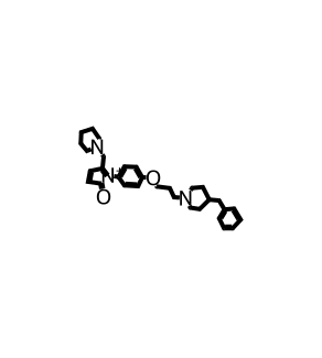 O=C1C=CC(CN2CCCCC2)=[N+]1c1ccc(OCCCN2CCC(Cc3ccccc3)CC2)cc1